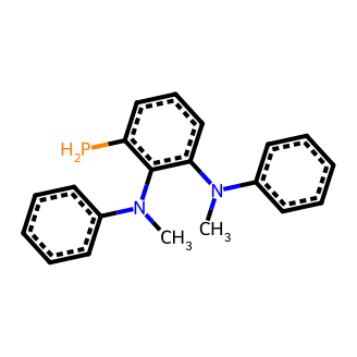 CN(c1ccccc1)c1cccc(P)c1N(C)c1ccccc1